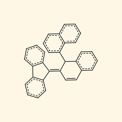 C1=Cc2ccccc2C(c2cccc3ccccc23)C1=C1c2ccccc2-c2ccccc21